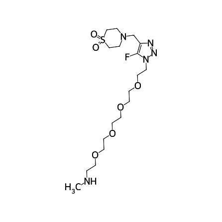 CNCCOCCOCCOCCOCCn1nnc(CN2CCS(=O)(=O)CC2)c1F